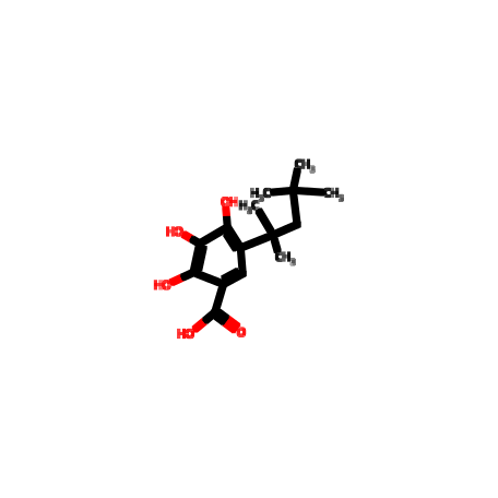 CC(C)(C)CC(C)(C)c1cc(C(=O)O)c(O)c(O)c1O